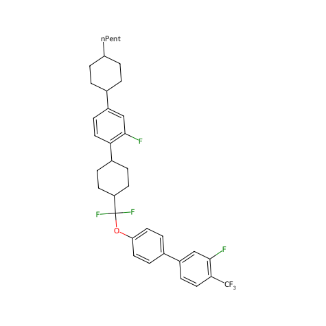 CCCCCC1CCC(c2ccc(C3CCC(C(F)(F)Oc4ccc(-c5ccc(C(F)(F)F)c(F)c5)cc4)CC3)c(F)c2)CC1